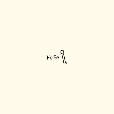 [C]=O.[Fe].[Fe]